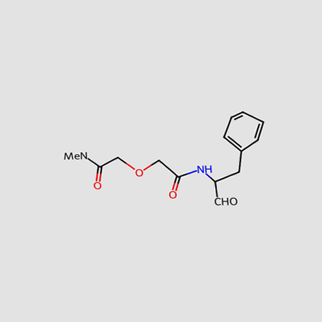 CNC(=O)COCC(=O)NC(C=O)Cc1ccccc1